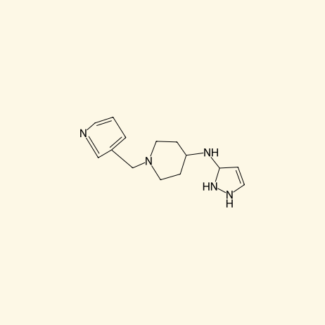 C1=CC(NC2CCN(Cc3cccnc3)CC2)NN1